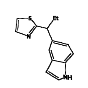 [CH2]CC(c1ccc2[nH]ccc2c1)c1nccs1